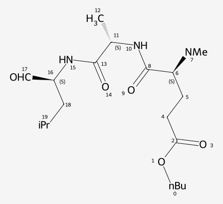 CCCCOC(=O)CC[C@H](NC)C(=O)N[C@@H](C)C(=O)N[C@H](C=O)CC(C)C